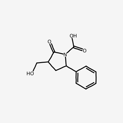 O=C(O)N1C(=O)C(CO)CC1c1ccccc1